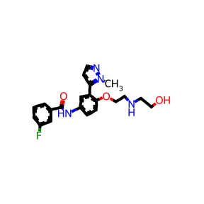 Cn1nccc1-c1cc(NC(=O)c2cccc(F)c2)ccc1OCCNCCO